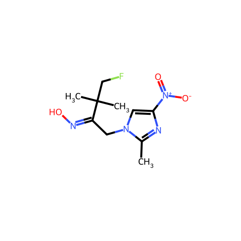 Cc1nc([N+](=O)[O-])cn1C/C(=N/O)C(C)(C)CF